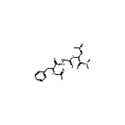 CC(=O)NC(Cc1ccccc1)C(=O)NNC(=O)OC(CC(C)C)C(=O)N(C)C